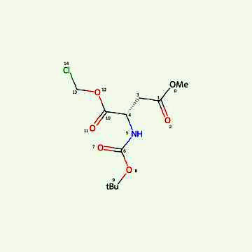 COC(=O)C[C@H](NC(=O)OC(C)(C)C)C(=O)OCCl